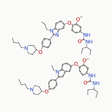 CCCCN1CCC(Oc2ccc(-c3cc4cc(Oc5ccc(NC(=O)NC(CC)CC)cc5OC)ccc4n3CC)cc2)CC1.CCCCN1CCC(Oc2ccc(-c3nc4cc(Oc5ccc(NC(=O)NC(CC)CC)cc5OC)ccc4n3CCC)cc2)CC1